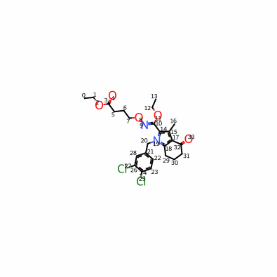 CCOC(=O)CCCON=C(OCC)c1c(C)c2c(n1Cc1ccc(Cl)c(Cl)c1)CCCC2=O